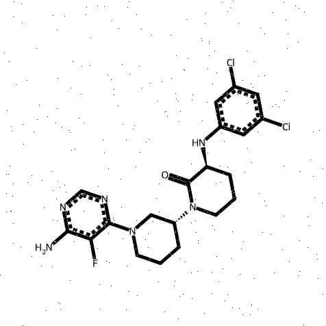 Nc1ncnc(N2CCC[C@@H](N3CCC[C@H](Nc4cc(Cl)cc(Cl)c4)C3=O)C2)c1F